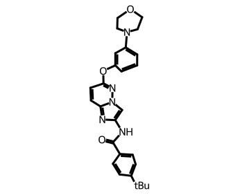 CC(C)(C)c1ccc(C(=O)Nc2cn3nc(Oc4cccc(N5CCOCC5)c4)ccc3n2)cc1